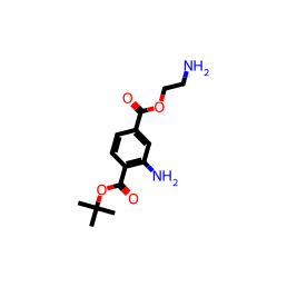 CC(C)(C)OC(=O)c1ccc(C(=O)OCCN)cc1N